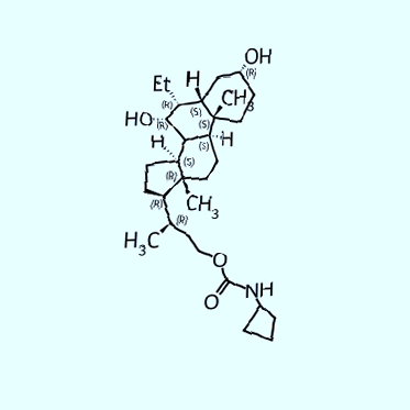 CC[C@H]1[C@@H](O)C2[C@@H]3CC[C@H]([C@H](C)CCOC(=O)NC4CCC4)[C@@]3(C)CC[C@@H]2[C@@]2(C)CC[C@@H](O)C[C@@H]12